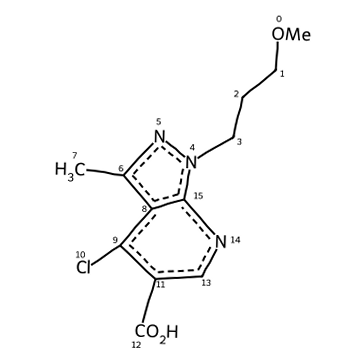 COCCCn1nc(C)c2c(Cl)c(C(=O)O)cnc21